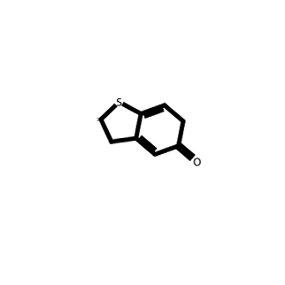 O=C1C=C2C[C]SC2=CC1